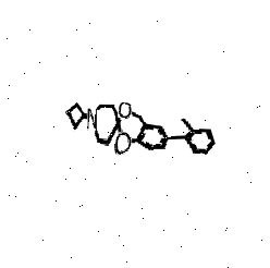 Cc1ccccc1-c1ccc2c(c1)COC1(CCN(C3CCC3)CC1)O2